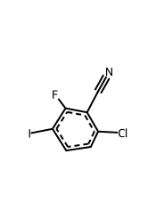 N#Cc1c(Cl)ccc(I)c1F